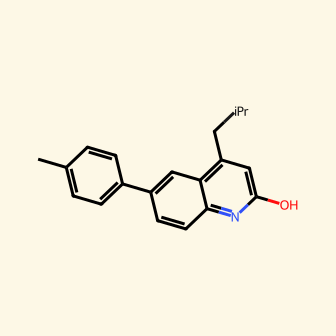 Cc1ccc(-c2ccc3nc(O)cc(CC(C)C)c3c2)cc1